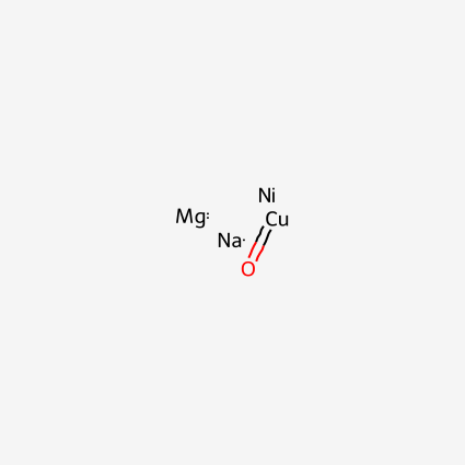 [Mg].[Na].[Ni].[O]=[Cu]